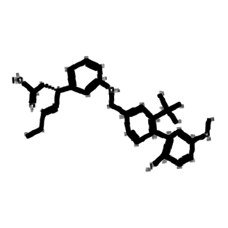 CCC=C[C@H](CC(=O)O)c1cccc(OCc2ccc(-c3cc(OC)ccc3F)c(C(C)(C)C)c2)c1